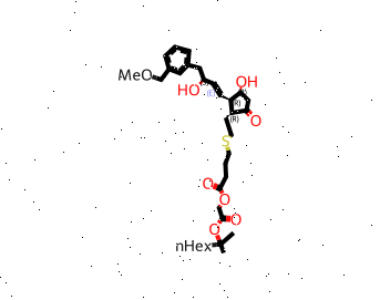 CCCCCCC(C)(C)OC(=O)COC(=O)CCCSCC[C@H]1C(=O)C[C@@H](O)[C@@H]1/C=C/[C@@H](O)Cc1cccc(COC)c1